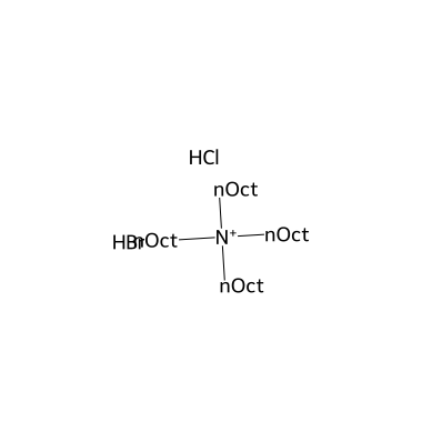 Br.CCCCCCCC[N+](CCCCCCCC)(CCCCCCCC)CCCCCCCC.Cl